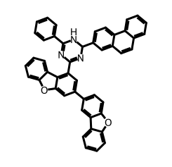 c1ccc(C2=NC(c3cc(-c4ccc5oc6ccccc6c5c4)cc4oc5ccccc5c34)=NC(c3ccc4c(ccc5ccccc54)c3)N2)cc1